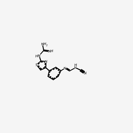 N#CN/C=N/c1cccc(-c2csc(NC(=N)N)n2)c1